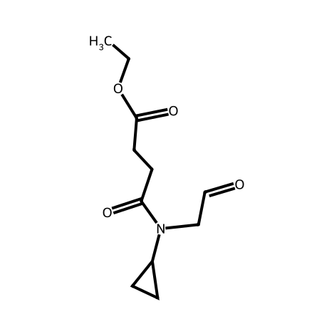 CCOC(=O)CCC(=O)N(CC=O)C1CC1